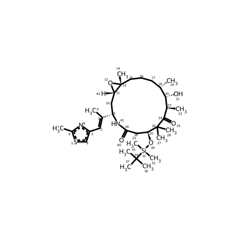 C/C(=C\c1csc(C)n1)[C@@H]1C[C@@H]2O[C@]2(C)CCC[C@H](C)[C@H](O)[C@@H](C)C(=O)C(C)(C)[C@@H](O[Si](C)(C)C(C)(C)C)CC(=O)N1